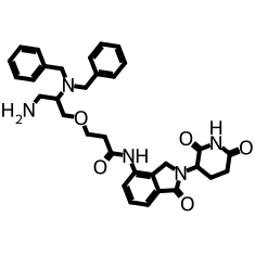 NCC(COCCC(=O)Nc1cccc2c1CN(C1CCC(=O)NC1=O)C2=O)N(Cc1ccccc1)Cc1ccccc1